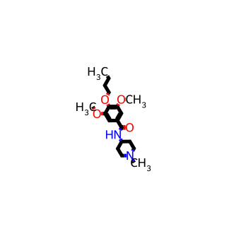 CCCCOc1c(OC)cc(C(=O)NC2CCN(C)CC2)cc1OC